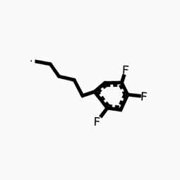 [CH2]CCCCc1cc(F)c(F)cc1F